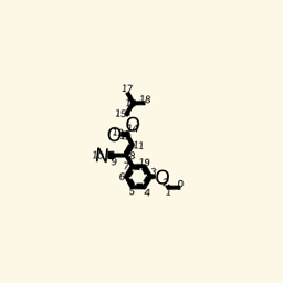 CCOc1cccc(C(C#N)=CC(=O)OCC(C)C)c1